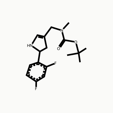 CN(CC1=CNC(c2ccc(F)cc2F)C1)C(=O)OC(C)(C)C